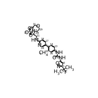 C.CC(C)(F)c1cc(NC(=O)Nc2ccc(-c3ccc(NCC[N+]4(S(=O)(=O)[O-])CCOCC4)nc3)cc2)on1